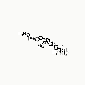 CC(C)(N)C(=O)N1CCN(C(=O)Nc2ccn(-c3ccc4c(c3)CCC(NC[C@H]3C[C@H](N)C3)C4)c(=O)n2)CC1.Cl